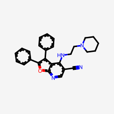 N#Cc1cnc2oc(-c3ccccc3)c(-c3ccccc3)c2c1NCCN1CCCCC1